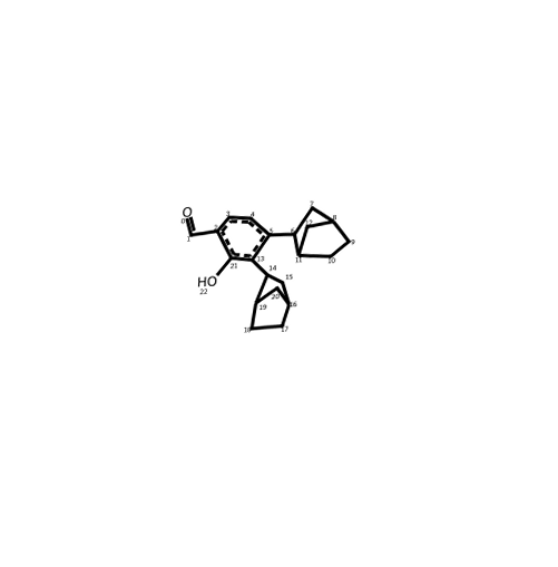 O=Cc1ccc(C2CC3CCC2C3)c(C2CC3CCC2C3)c1O